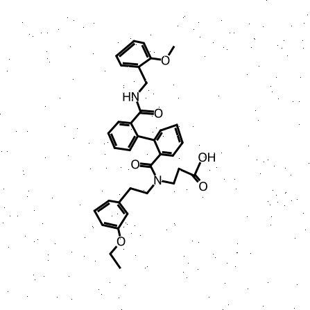 CCOc1cccc(CCN(CCC(=O)O)C(=O)c2ccccc2-c2ccccc2C(=O)NCc2ccccc2OC)c1